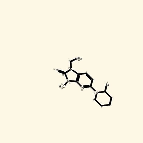 CCC1CCCCN1c1ccc2c(n1)n(C)c(=O)n2CC(C)(C)C